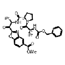 COC(=O)c1ccc2oc(C(=O)C(NC(=O)[C@@H]3CCCN3C(=O)[C@@H](NC(=O)OCc3ccccc3)C(C)C)C(C)C)nc2c1